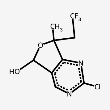 CC1(CC(F)(F)F)OC(O)c2cnc(Cl)nc21